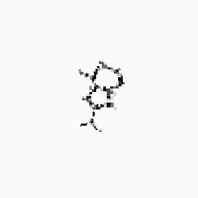 Cc1nccn2nc(C(C)C)cc12